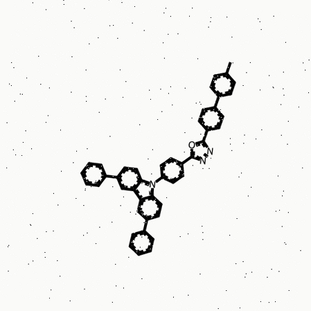 Cc1ccc(-c2ccc(-c3nnc(-c4ccc(-n5c6ccc(-c7ccccc7)cc6c6cc(-c7ccccc7)ccc65)cc4)o3)cc2)cc1